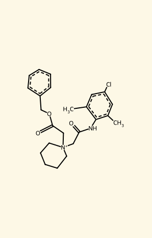 Cc1cc(Cl)cc(C)c1NC(=O)C[N+]1(CC(=O)OCc2ccccc2)CCCCC1